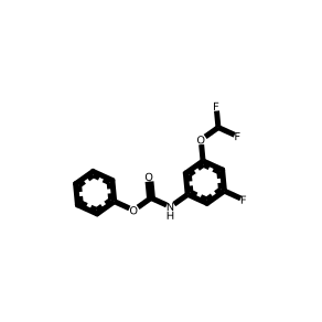 O=C(Nc1cc(F)cc(OC(F)F)c1)Oc1ccccc1